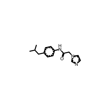 CC(C)Cc1ccc(NC(=O)Cn2ccnc2)cc1